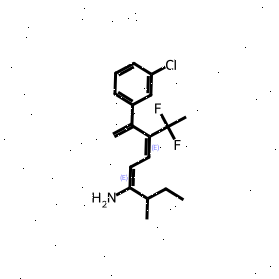 C=C(/C(=C\C=C(\N)C(C)CC)C(C)(F)F)c1cccc(Cl)c1